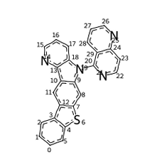 c1ccc2c(c1)sc1cc3c(cc12)c1ncccc1n3-c1nccc2ncccc12